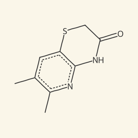 Cc1cc2c(nc1C)NC(=O)CS2